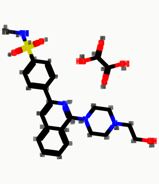 CCNS(=O)(=O)c1ccc(-c2cc3ccccc3c(N3CCN(CCO)CC3)n2)cc1.O=C(O)C(=O)O